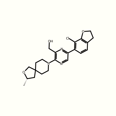 C[C@H]1CC2(CCN(c3ncc(-c4ccc5c(c4Cl)OCC5)nc3CO)CC2)CO1